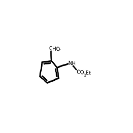 CCOC(=O)Nc1ccccc1[C]=O